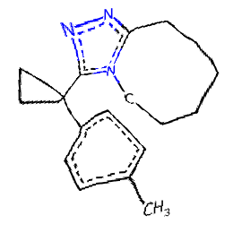 Cc1ccc(C2(c3nnc4n3CCCCCC4)CC2)cc1